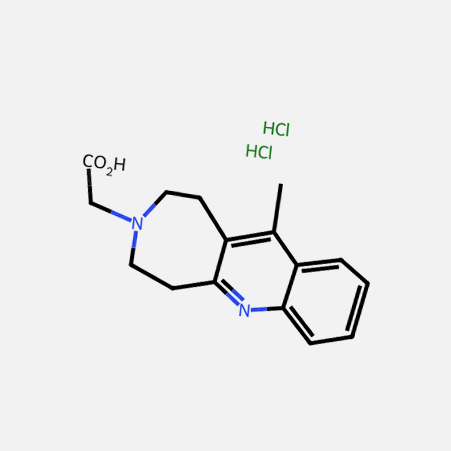 Cc1c2c(nc3ccccc13)CCN(CC(=O)O)CC2.Cl.Cl